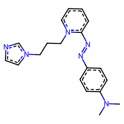 CN(C)c1ccc(/N=N/c2cccc[n+]2CCCn2ccnc2)cc1